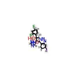 C[C@@H](n1nnc2cc(I)ccc2c1=O)[C@](O)(Cn1cncn1)c1ccc(F)cc1F